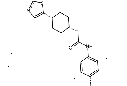 O=C(C[C@H]1CC[C@@H](c2cncs2)CC1)Nc1ccc(Cl)cc1